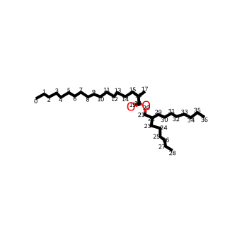 CCCCCCCCCCCCCCCCC(C)C(=O)OCC(CCCCCC)CCCCCCCC